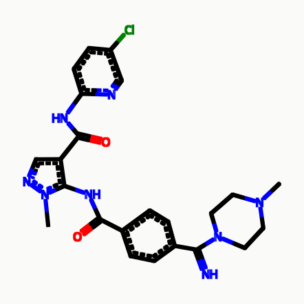 CN1CCN(C(=N)c2ccc(C(=O)Nc3c(C(=O)Nc4ccc(Cl)cn4)cnn3C)cc2)CC1